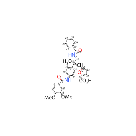 COc1ccc(C(=O)Nc2ccc(C(C)(C)CNC(=O)c3ccccc3)cc2)cc1OC.O=C(O)c1ccco1